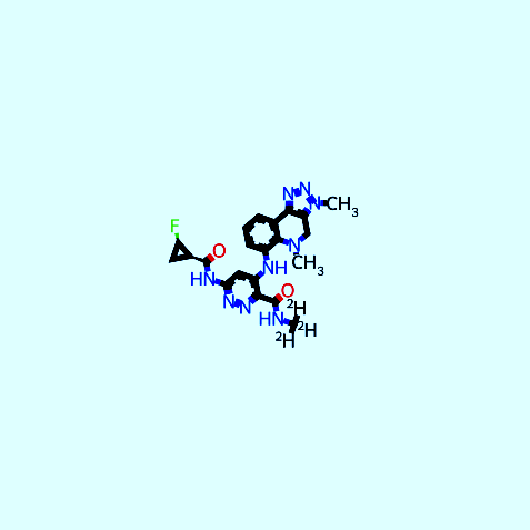 [2H]C([2H])([2H])NC(=O)c1nnc(NC(=O)[C@H]2C[C@H]2F)cc1Nc1cccc2c1N(C)Cc1c-2nnn1C